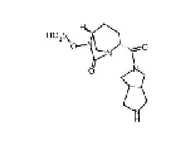 O=C([C@H]1CC[C@@H]2CN1C(=O)N2OS(=O)(=O)O)N1CC2CNCC2C1